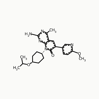 COc1ccc(-c2cc3c(C)nc(N)nc3n([C@H]3CC[C@H](OC(C)C)CC3)c2=O)cn1